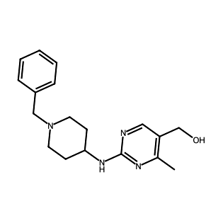 Cc1nc(NC2CCN(Cc3ccccc3)CC2)ncc1CO